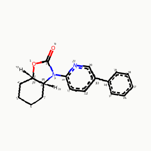 O=C1O[C@H]2CCCC[C@H]2N1c1ccc(-c2ccccc2)cn1